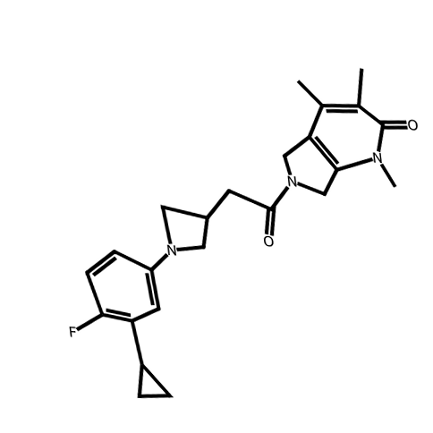 Cc1c2c(n(C)c(=O)c1C)CN(C(=O)CC1CN(c3ccc(F)c(C4CC4)c3)C1)C2